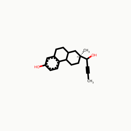 CC#CC(O)[C@@]1(C)CCC2c3ccc(O)cc3CCC2C1